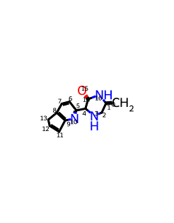 C=C1CNC(c2ccc3c(n2)C=CC3)C(=O)N1